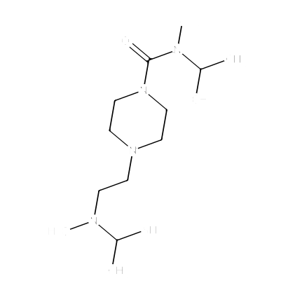 CC(S)N(C)CCN1CCN(C(=O)N(C)C(C)C)CC1